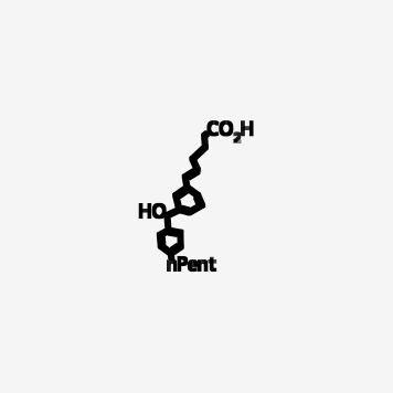 CCCCCc1ccc(C(O)c2cccc(C=CCCCC(=O)O)c2)cc1